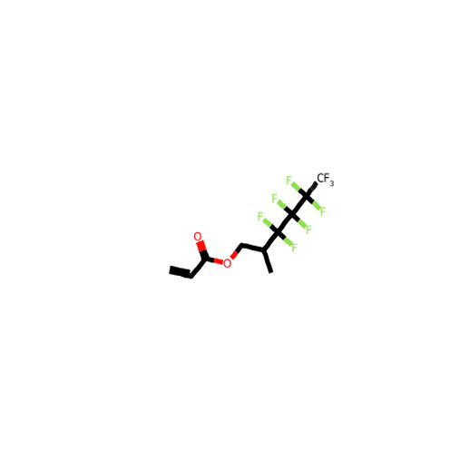 C=CC(=O)OCC(C)C(F)(F)C(F)(F)C(F)(F)C(F)(F)F